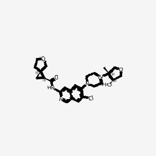 C[C@@]1(N2CCN(c3cc4cc(NC(=O)[C@H]5C[C@]56CCOC6)ncc4cc3Cl)CC2)COC[C@@H]1O